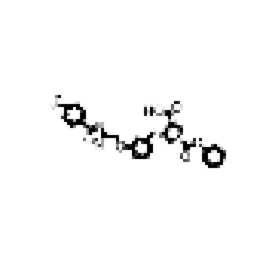 Cc1ccc(-c2nc(COc3cccc(C[C@@H]4CN(C(=O)Oc5ccccc5)C[C@@H]4C(=O)O)c3)no2)cc1